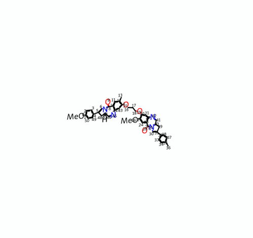 COc1ccc(C2=CN3C(=O)c4cc(C)c(OCCCOc5cc6c(cc5OC)C(=O)N5C=C(c7ccc(C)cc7)CC5C=N6)cc4N=C[C@@H]3C2)cc1